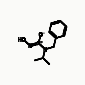 CC(C)N(Cc1ccccc1)[N+]([O-])=NO